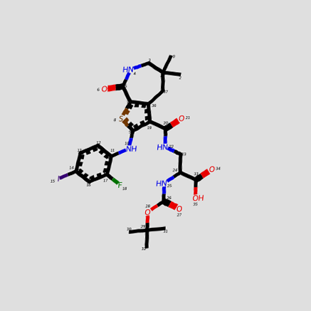 CC1(C)CNC(=O)c2sc(Nc3ccc(I)cc3F)c(C(=O)NCC(NC(=O)OC(C)(C)C)C(=O)O)c2C1